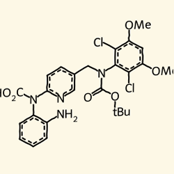 COc1cc(OC)c(Cl)c(N(Cc2ccc(N(C(=O)O)c3ccccc3N)nc2)C(=O)OC(C)(C)C)c1Cl